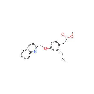 CCCc1cc(OCc2ccc3ccccc3n2)ccc1CC(=O)OC